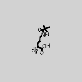 CNC(CCCNC(=O)C(C)(C)C)C(=O)O